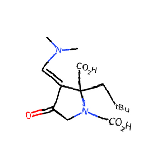 CN(C)/C=C1/C(=O)CN(C(=O)O)C1(CC(C)(C)C)C(=O)O